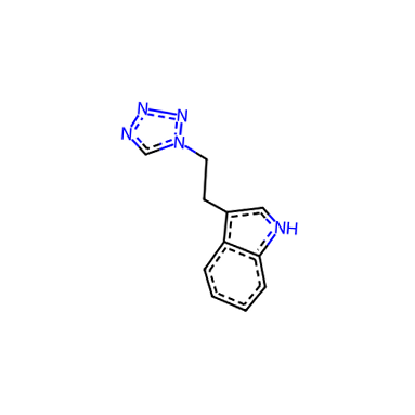 c1ccc2c(CCn3cnnn3)c[nH]c2c1